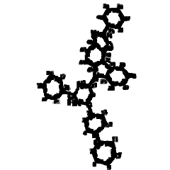 C1=C(c2ccc(-c3ccccc3)cc2)NC(c2ccccc2)N=C1n1c2ccccc2c2c3oc(-c4ccccc4)nc3ccc21